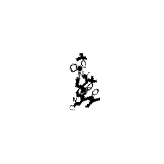 CC(C)C(=O)c1cc(Cl)nc(C[C@@]2(C(=O)OC(C)(C)C)CCN(C(=O)OC(C)(C)C)[C@H](C)C2)c1F